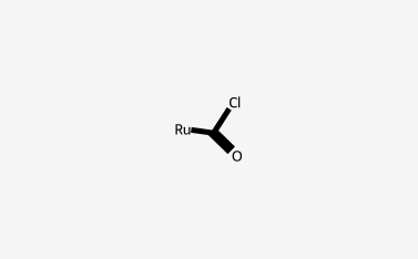 O=[C](Cl)[Ru]